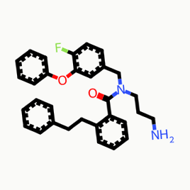 NCCCN(Cc1ccc(F)c(Oc2ccccc2)c1)C(=O)c1ccccc1CCc1ccccc1